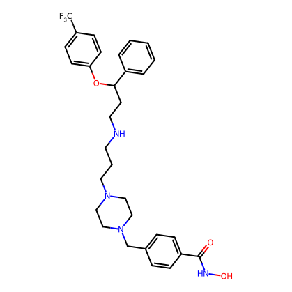 O=C(NO)c1ccc(CN2CCN(CCCNCCC(Oc3ccc(C(F)(F)F)cc3)c3ccccc3)CC2)cc1